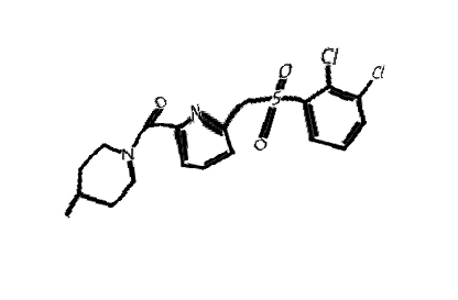 CC1CCN(C(=O)c2cccc(CS(=O)(=O)c3cccc(Cl)c3Cl)n2)CC1